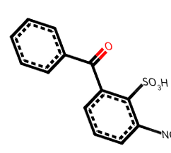 O=C(c1ccccc1)c1cccc([N+](=O)[O-])c1S(=O)(=O)O